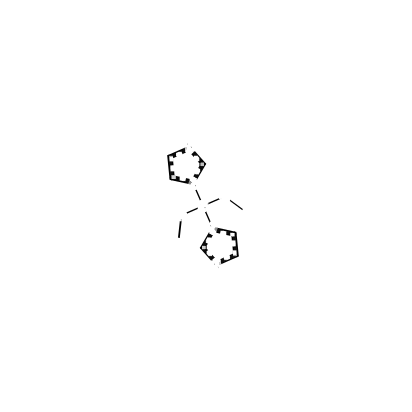 CO[Si](OC)(n1ccnc1)n1ccnc1